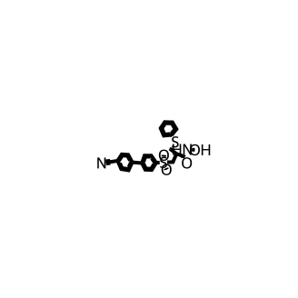 N#Cc1ccc(-c2ccc(S(=O)(=O)CC(CSc3ccccc3)C(=O)NO)cc2)cc1